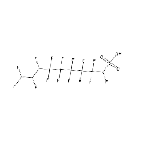 O=S(=O)(O)C(F)C(F)(F)C(F)(F)C(F)(F)C(F)(F)C(F)(F)C(F)C(F)C(F)F